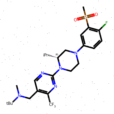 CC(C)[C@@H]1CN(c2ccc(F)c(S(C)(=O)=O)c2)CCN1c1ncc(CN(C)C(C)(C)C)c(C(F)(F)F)n1